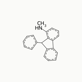 CNc1cccc2c1C(c1ccccc1)c1ccccc1-2